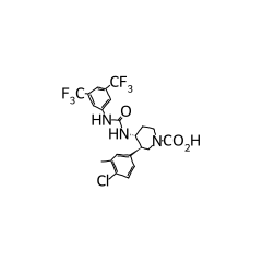 Cc1cc([C@@H]2CN(C(=O)O)CC[C@H]2NC(=O)Nc2cc(C(F)(F)F)cc(C(F)(F)F)c2)ccc1Cl